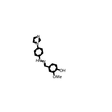 COc1cc(/C=N/Nc2ccc(-n3ccnc3)cc2)ccc1O